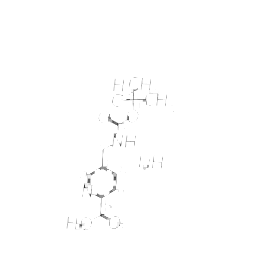 CC(C)(C)OC(=O)NCc1ccc(C(=O)O)nc1.[LiH]